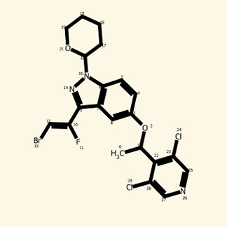 CC(Oc1ccc2c(c1)c(C(F)=CBr)nn2C1CCCCO1)c1c(Cl)cncc1Cl